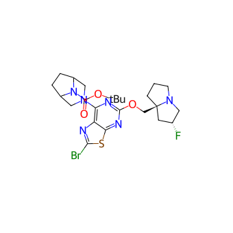 CC(C)(C)OC(=O)N1C2CCC1CN(c1nc(OC[C@@]34CCCN3C[C@H](F)C4)nc3sc(Br)nc13)C2